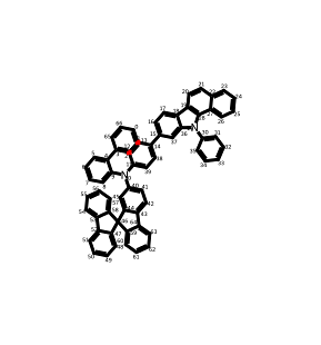 c1ccc(-c2ccccc2N(c2ccc(-c3ccc4c5ccc6ccccc6c5n(-c5ccccc5)c4c3)cc2)c2ccc3c(c2)C2(c4ccccc4-c4ccccc42)c2ccccc2-3)cc1